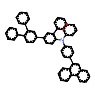 c1ccc(-c2ccc(-c3ccc(N(c4ccccc4)c4ccc(-c5cc6ccccc6c6ccccc56)cc4)c(-c4ccccc4)c3)cc2-c2ccccc2)cc1